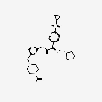 CC(=O)N1CCN(Cc2cnc(NC(=O)/C(=N/O[C@@H]3CCOC3)c3ccc(S(=O)(=O)C4CC4)nc3)s2)CC1